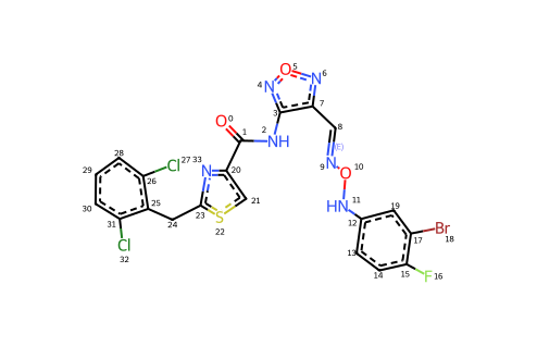 O=C(Nc1nonc1/C=N/ONc1ccc(F)c(Br)c1)c1csc(Cc2c(Cl)cccc2Cl)n1